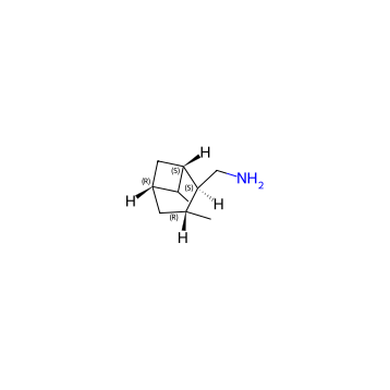 CC1[C@@H]2C[C@@H](C)[C@H](CN)[C@H]1C2